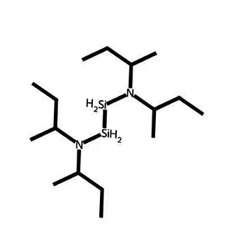 CCC(C)N([SiH2][SiH2]N(C(C)CC)C(C)CC)C(C)CC